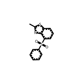 Cc1nc2c(S(=O)(=O)c3ccccc3)cccc2s1